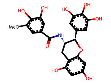 COc1cc(C(=O)N[C@H]2Cc3c(O)cc(O)cc3O[C@@H]2c2cc(O)c(O)c(O)c2)cc(O)c1O